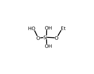 CCO[Si](O)(O)OO